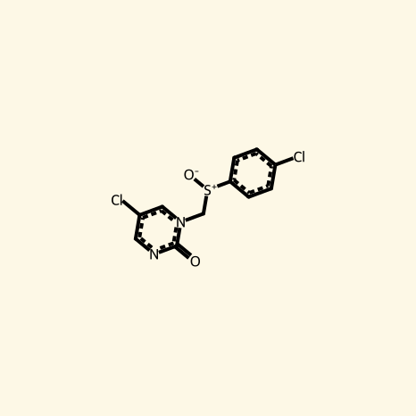 O=c1ncc(Cl)cn1C[S+]([O-])c1ccc(Cl)cc1